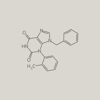 Cc1ccccc1-n1c(=O)[nH]c(=O)c2ncn(Cc3ccccc3)c21